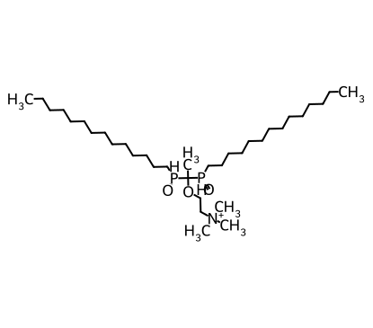 CCCCCCCCCCCCCC[PH](=O)C(C)(OCC[N+](C)(C)C)[PH](=O)CCCCCCCCCCCCCC